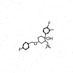 Cc1cc(C2(O)CCC(OCc3ccc(F)cc3)CC2CN(C)C)ccc1F